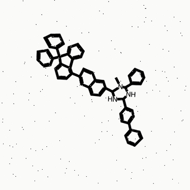 CN1C(c2ccccc2)NC(c2ccc(-c3ccccc3)cc2)NC1c1ccc2cc(-c3cccc4c3-c3ccccc3C4(c3ccccc3)c3ccccc3)ccc2c1